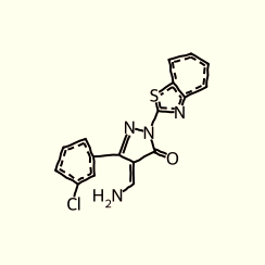 NC=C1C(=O)N(c2nc3ccccc3s2)N=C1c1cccc(Cl)c1